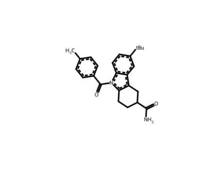 Cc1ccc(C(=O)n2c3c(c4cc(C(C)(C)C)ccc42)CC(C(N)=O)CC3)cc1